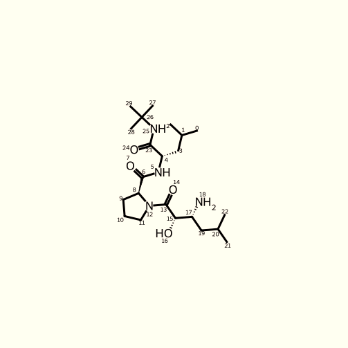 CC(C)C[C@H](NC(=O)[C@@H]1CCCN1C(=O)[C@@H](O)[C@H](N)CC(C)C)C(=O)NC(C)(C)C